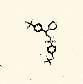 O=S(=O)(NCC(c1ccc(C(F)(F)F)cc1)N1CCOCC1)c1ccc(OC(F)(F)F)cc1